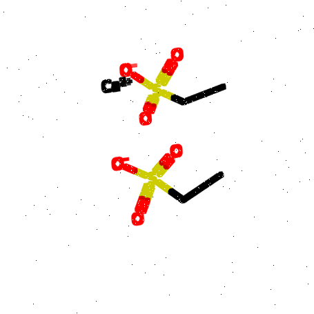 CCS(=O)(=O)[O-].CCS(=O)(=O)[O-].[Ca+2]